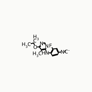 [C-]#[N+]c1ccc(Nc2ncnc(OC(C)C)c2C)c(F)c1